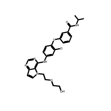 CC(C)NC(=O)c1cccc(Oc2ccc(Nc3ncnc4ccn(CCOCCO)c34)cc2Cl)c1